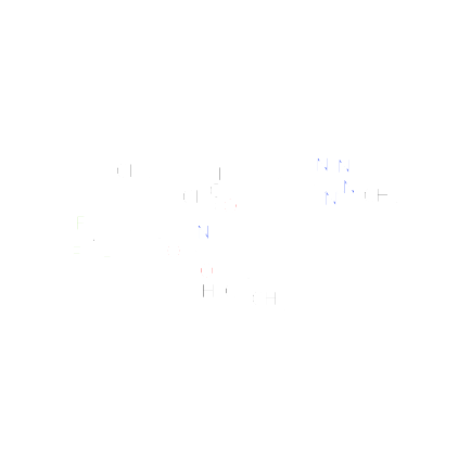 COc1ccc(-c2nnn(C)n2)cc1C1=C(CN2C(=O)O[C@H](c3cc(C)cc(C(F)(F)F)c3)[C@@H]2C)CC(C)(C)CC1